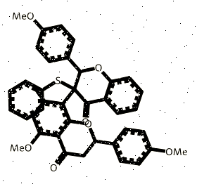 COc1ccc(C2CC(=O)c3c(OC)cc(C)c(C4(Sc5ccccc5)C(=O)c5ccccc5OC4c4ccc(OC)cc4)c3O2)cc1